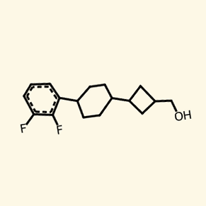 OCC1CC(C2CCC(c3cccc(F)c3F)CC2)C1